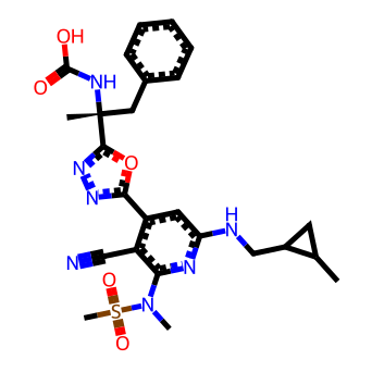 CC1CC1CNc1cc(-c2nnc([C@@](C)(Cc3ccccc3)NC(=O)O)o2)c(C#N)c(N(C)S(C)(=O)=O)n1